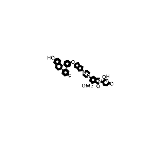 COc1cc(N2CCN(C3CC4CC(Oc5ccc([C@@H]6c7ccc(O)cc7CC[C@@H]6c6ccc(F)cc6)cc5)CC4C3)CC2)cc2c1C(=O)N(C1CCC(=O)NC1=O)C2